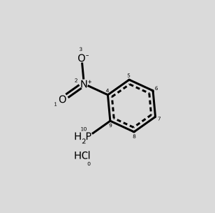 Cl.O=[N+]([O-])c1ccccc1P